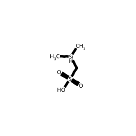 C[SiH](C)CS(=O)(=O)O